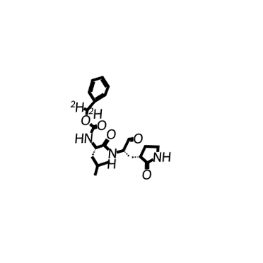 [2H]C([2H])(OC(=O)N[C@@H](CC(C)C)C(=O)N[C@H](C=O)C[C@@H]1CCNC1=O)c1ccccc1